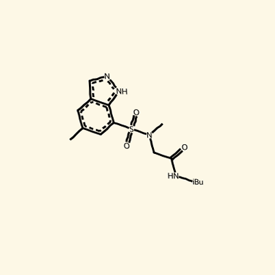 CCC(C)NC(=O)CN(C)S(=O)(=O)c1cc(C)cc2cn[nH]c12